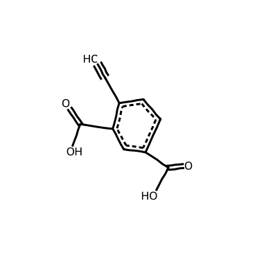 C#Cc1ccc(C(=O)O)cc1C(=O)O